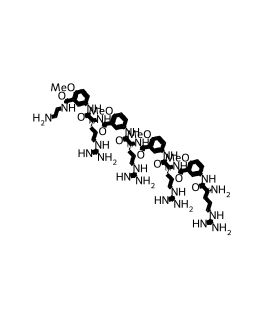 COc1ccc(NC(=O)[C@@H](CCCNC(=N)N)NC(=O)c2cc(NC(=O)[C@@H](CCCNC(=N)N)NC(=O)c3cc(NC(=O)[C@@H](CCCNC(=N)N)NC(=O)c4cc(NC(=O)[C@H](N)CCCNC(=N)N)ccc4OC)ccc3OC)ccc2OC)cc1C(=O)NCCN